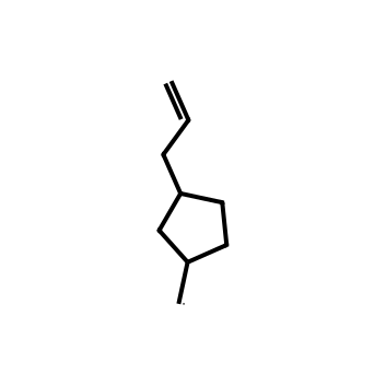 [CH2]C1CCC(CC=C)C1